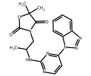 CC(CN1C(=O)OC(C)(C)C1=O)Nc1nccc(-n2nnc3ccccc32)n1